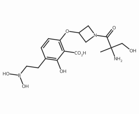 CC(N)(CO)C(=O)N1CC(Oc2ccc(CCB(O)O)c(O)c2C(=O)O)C1